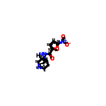 O=C(N[C@H]1CN2CCC1CC2)c1ccc([N+](=O)[O-])o1